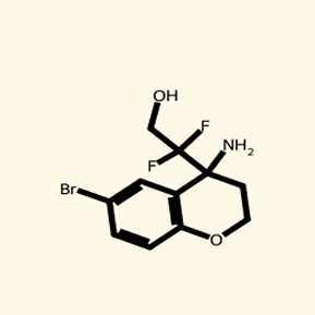 NC1(C(F)(F)CO)CCOc2ccc(Br)cc21